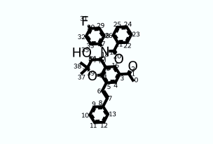 CC(=O)c1cc(C=Cc2ccccc2)c2c(c1)[C@H](N(C(=O)c1ccccc1)c1ccc(F)cc1)[C@@H](O)C(C)(C)O2